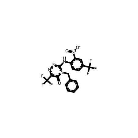 O=c1c(C(F)(F)F)nnc(Nc2ccc(C(F)(F)F)cc2[N+](=O)[O-])n1Cc1ccccc1